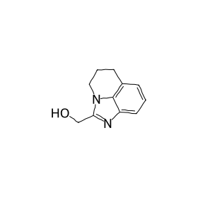 OCc1nc2cccc3c2n1CCC3